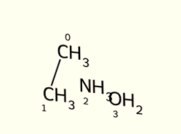 CC.N.O